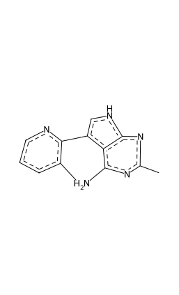 Cc1nc(N)c2c(-c3ncccc3C)c[nH]c2n1